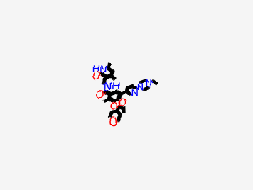 CCN1CCN(c2ccc(-c3cc(C(=O)NCc4c(C)cc(C)[nH]c4=O)c(C)c4c3OC(CC)(C3CCOCC3)O4)cn2)CC1